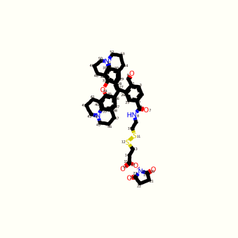 O=Cc1ccc(C(=O)NCCSSCCC(=O)ON2C(=O)CCC2=O)cc1C1=c2cc3c4c(c2Oc2c1cc1c5c2CCCN5CCC1)CCC[N+]=4CCC3